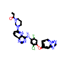 C=CC(=O)N1CCCN(c2ccc3ncnc(Nc4cc(Cl)c(Oc5ccn6ncnc6c5)cc4F)c3n2)C1